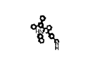 C/C(C1=CCC(C2CCNC2)CC1)=C1/C=CCC/C1=C(/CNC1C=CC2C=CCCC2C1)C1=CC(C2CC=CCC2)=CC(C2CCCCC2)C1